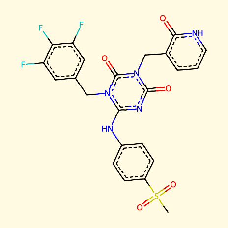 CS(=O)(=O)c1ccc(Nc2nc(=O)n(Cc3ccc[nH]c3=O)c(=O)n2Cc2cc(F)c(F)c(F)c2)cc1